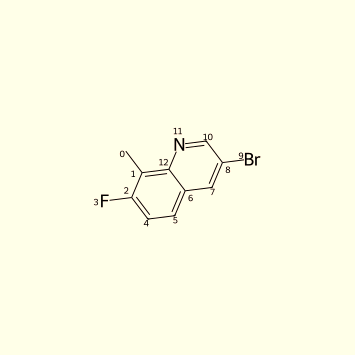 Cc1c(F)ccc2cc(Br)cnc12